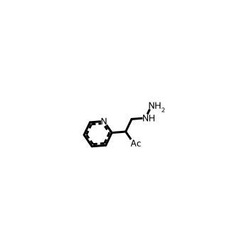 CC(=O)C(CNN)c1ccccn1